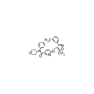 Cc1cccc(-c2noc(C)c2COc2ccc(C(=O)N(c3ccccc3)C3CCOCC3)cn2)c1